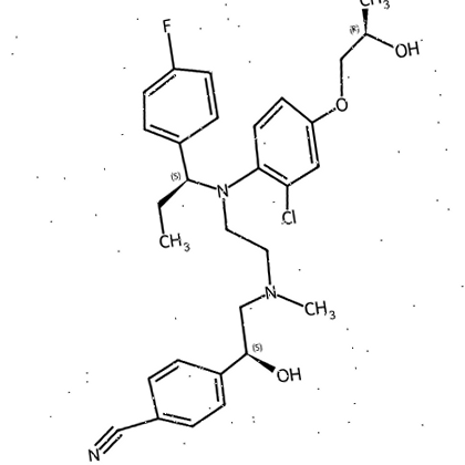 CC[C@@H](c1ccc(F)cc1)N(CCN(C)C[C@@H](O)c1ccc(C#N)cc1)c1ccc(OC[C@@H](C)O)cc1Cl